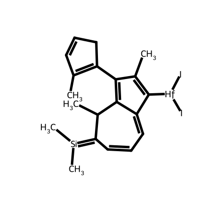 CC1=C(C2=C3C(=CC=CC(=[Si](C)C)C3C)[C]([Hf]([I])[I])=C2C)CC=C1